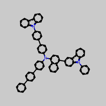 c1ccc(-c2ccc(-c3ccc(N(c4ccc(-c5ccc(-n6c7ccccc7c7ccccc76)cc5)cc4)c4ccc(-c5ccc6c(c5)c5ccccc5n6-c5ccccc5)c5ccccc45)cc3)cc2)cc1